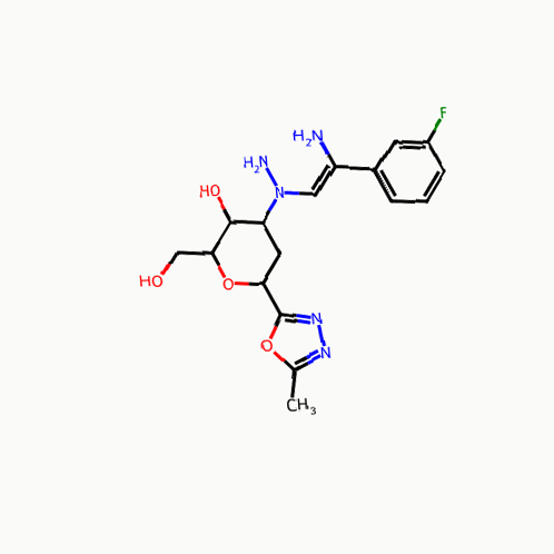 Cc1nnc(C2CC(N(N)/C=C(\N)c3cccc(F)c3)C(O)C(CO)O2)o1